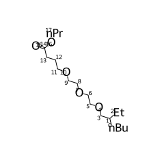 CCCCC(CC)COCCOCCOCCCC(=O)OCCC